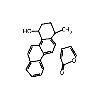 CC1CCC(O)c2c1ccc1c2ccc2ccccc21.O=c1cccco1